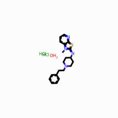 Cl.Cl.Cn1c(=NC2CCN(CCc3ccccc3)CC2)sc2ncccc21.O